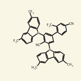 Cc1ccc2c(c1)c1cc(C)ccc1n2-c1cc(-c2ccc(C#N)cc2C(F)(F)F)cc(-n2c3ccc(C(F)(F)F)cc3c3cc(C(F)(F)F)ccc32)c1C#N